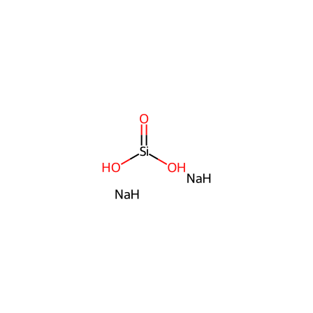 O=[Si](O)O.[NaH].[NaH]